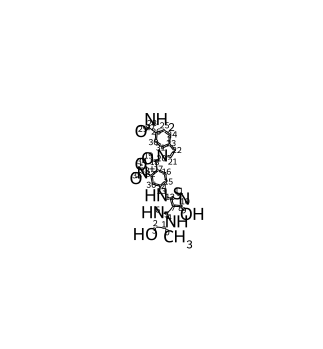 CC(CO)NC(=N)c1c(O)nsc1Nc1ccc(C(=O)n2ccc3ccc(C(N)=O)cc32)c([N+](=O)[O-])c1